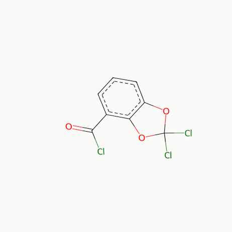 O=C(Cl)c1cccc2c1OC(Cl)(Cl)O2